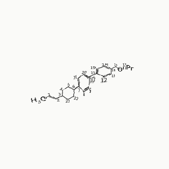 C/C=C/C1CCC(c2ccc(-c3ccc(COCCC)cc3)cc2)CC1